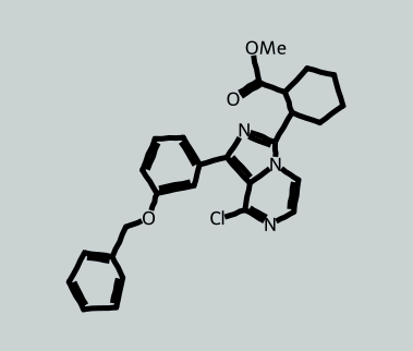 COC(=O)C1CCCCC1c1nc(-c2cccc(OCc3ccccc3)c2)c2c(Cl)nccn12